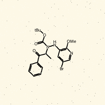 COc1ncc(Br)cc1NN(C(=O)OC(C)(C)C)C(C)C(=O)c1ccccc1